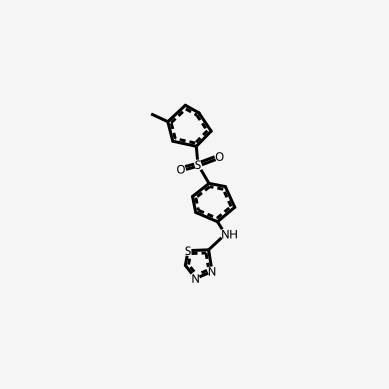 Cc1cccc(S(=O)(=O)c2ccc(Nc3nncs3)cc2)c1